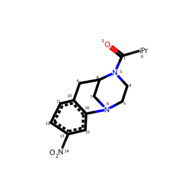 CC(C)C(=O)N1CCN2CC1Cc1ccc([N+](=O)[O-])cc12